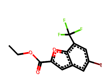 CCOC(=O)c1cc2cc(Br)cc(C(F)(F)F)c2o1